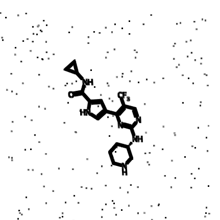 O=C(NC1CC1)c1cc(-c2nc(N[C@H]3CCCNC3)ncc2C(F)(F)F)c[nH]1